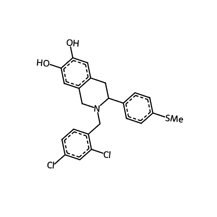 CSc1ccc(C2Cc3cc(O)c(O)cc3CN2Cc2ccc(Cl)cc2Cl)cc1